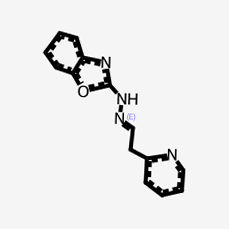 C(/Cc1ccccn1)=N\Nc1nc2ccccc2o1